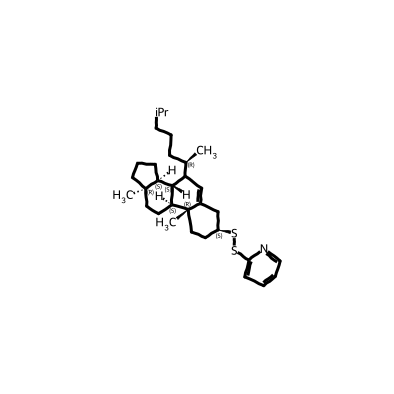 CC(C)CCC[C@@H](C)C1C=C2C[C@@H](SSc3ccccn3)CC[C@]2(C)[C@H]2CC[C@@]3(C)CCC[C@H]3[C@H]12